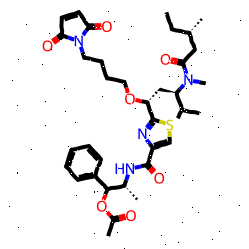 CC[C@H](C)CC(=O)N(C)[C@H](C[C@@H](OCCCCN1C(=O)C=CC1=O)c1nc(C(=O)N[C@H](C)C(OC(C)=O)c2ccccc2)cs1)C(C)C